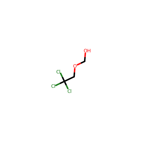 OCOCC(Cl)(Cl)Cl